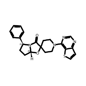 O=C1N2[C@@H](CC[C@H]2c2ccccc2)OC12CCN(c1ncnc3ccsc13)CC2